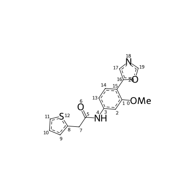 COc1cc(NC(=O)Cc2cccs2)ccc1-c1cnco1